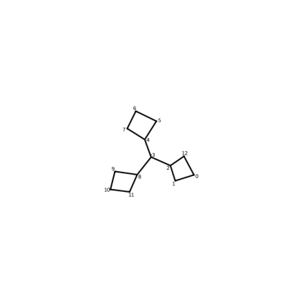 C1CC([C](C2CCC2)C2CCC2)C1